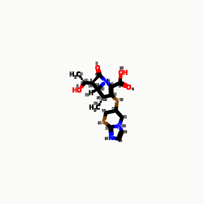 C[C@@H](O)[C@H]1C(=O)N2C(C(=O)O)=C(SC3CSc4nccn4C3)[C@H](C)[C@H]12